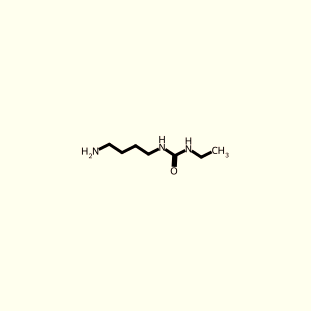 CCNC(=O)NCCCCN